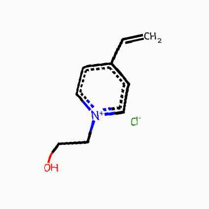 C=Cc1cc[n+](CCO)cc1.[Cl-]